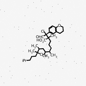 CC(C)CCCC(C)(C)C(C)CC(C)C(C)CCCC(C)(C(=O)O)C(Cl)(C=O)c1ccc2c(c1)CCCO2